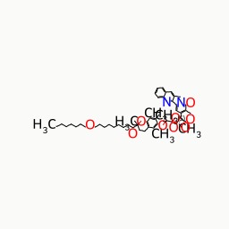 CCCCCCCCOCCCCCCCCC(=O)C1(C)CCc2c(C)c(OCC(=O)O[C@]3(CC)C(=O)OCc4c3cc3n(c4=O)Cc4cc5ccccc5nc4-3)c(C)c(C)c2O1